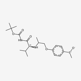 CC(COc1ccc([S+](C)[O-])cc1)N[C@H](C(=O)NC(=O)OC(C)(C)C)C(C)C